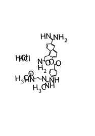 CNC(=NCCNC(C)=O)Nc1ccc(C(=O)Oc2ccc3cc(C(=N)N)ccc3c2CC(N)=O)cc1.Cl.Cl